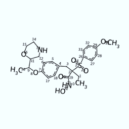 CCC(Cc1ccc(OC(C)C2CNCCO2)cc1)(C(=O)NO)S(=O)(=O)c1ccc(OC)cc1